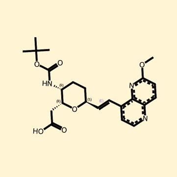 COc1ccc2nccc(/C=C/[C@@H]3CC[C@@H](NC(=O)OC(C)(C)C)[C@@H](CC(=O)O)O3)c2n1